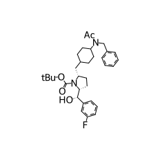 CC(=O)N(Cc1ccccc1)C1CCC(C[C@@H]2CC[C@H]([C@@H](O)c3cccc(F)c3)N2C(=O)OC(C)(C)C)CC1